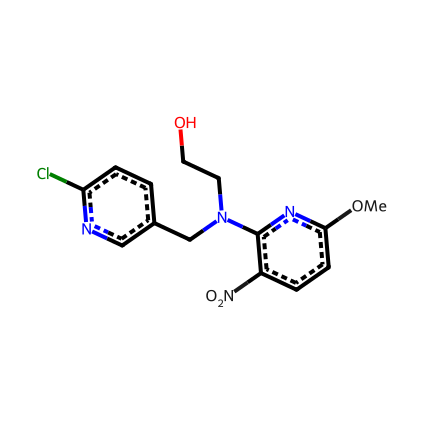 COc1ccc([N+](=O)[O-])c(N(CCO)Cc2ccc(Cl)nc2)n1